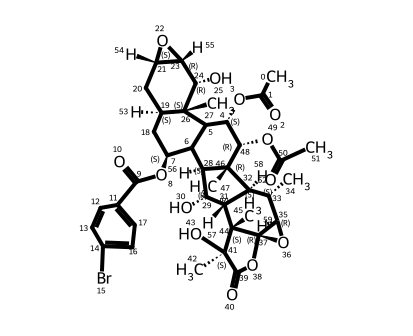 CC(=O)O[C@H]1C2C([C@@H](OC(=O)c3ccc(Br)cc3)C[C@H]3C[C@@H]4O[C@@H]4[C@H](O)[C@]23C)[C@@H]2[C@@H](O)[C@@H]3[C@H]([C@H](C)[C@H]4O[C@]45OC(=O)[C@@](C)(O)[C@]35C)[C@@]2(C)[C@H]1OC(C)=O